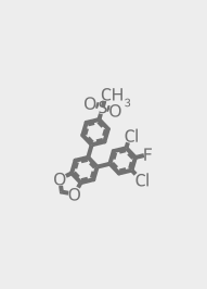 CS(=O)(=O)c1ccc(-c2cc3c(cc2-c2cc(Cl)c(F)c(Cl)c2)OCO3)cc1